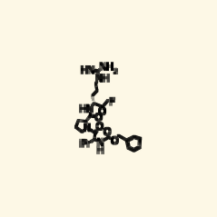 CC(C)[C@H](NC(=O)OCc1ccccc1)C(=O)N1CCC[C@H]1C(=O)N[C@H](CCCNC(=N)N)C(=O)CF